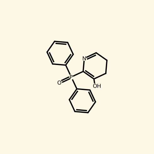 O=P(C1=C(O)CCC=N1)(c1ccccc1)c1ccccc1